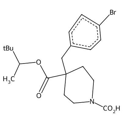 CC(OC(=O)C1(Cc2ccc(Br)cc2)CCN(C(=O)O)CC1)C(C)(C)C